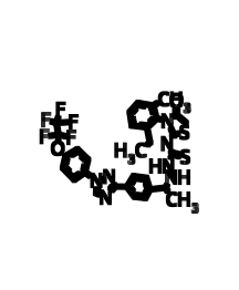 CCc1cccc(C)c1N1C(=O)CS/C1=N\C(=S)NNC(C)c1ccc(-c2ncn(-c3ccc(OC(F)(F)C(F)(F)F)cc3)n2)cc1